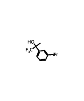 CC(C)c1cccc(C(C)(O)C(F)(F)F)c1